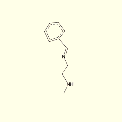 CNCC/N=C/c1ccccc1